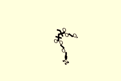 CCC(C)(CC(C)(C)C(=O)OCCOCC#C[Si](C)(C)C)C(=O)OCCOC